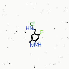 Fc1cc2[nH]ncc2cc1CNCl